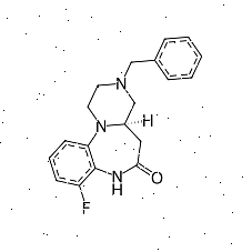 O=C1C[C@@H]2CN(Cc3ccccc3)CCN2c2cccc(F)c2N1